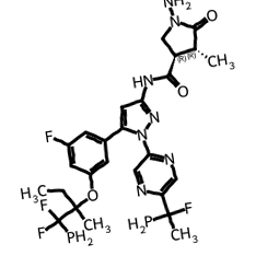 CCC(C)(Oc1cc(F)cc(-c2cc(NC(=O)[C@H]3CN(N)C(=O)[C@@H]3C)nn2-c2cnc(C(C)(F)P)cn2)c1)C(F)(F)P